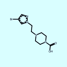 O=C(O)N1CCN(CCn2cc(Br)cn2)CC1